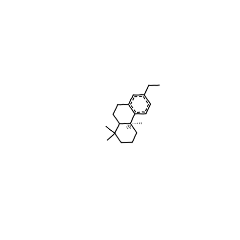 CCc1ccc2c(c1)CCC1C(C)(C)CCC[C@]21C